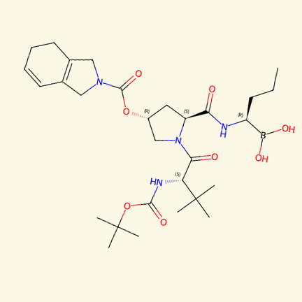 CCC[C@H](NC(=O)[C@@H]1C[C@@H](OC(=O)N2CC3=C(CCC=C3)C2)CN1C(=O)[C@@H](NC(=O)OC(C)(C)C)C(C)(C)C)B(O)O